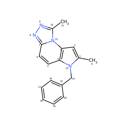 Cc1cc2c(ccc3nnc(C)n32)n1Cc1ccccc1